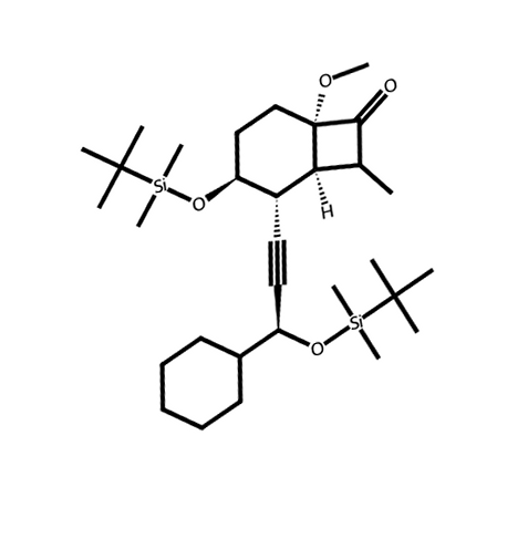 CO[C@@]12CC[C@H](O[Si](C)(C)C(C)(C)C)[C@@H](C#C[C@@H](O[Si](C)(C)C(C)(C)C)C3CCCCC3)[C@@H]1C(C)C2=O